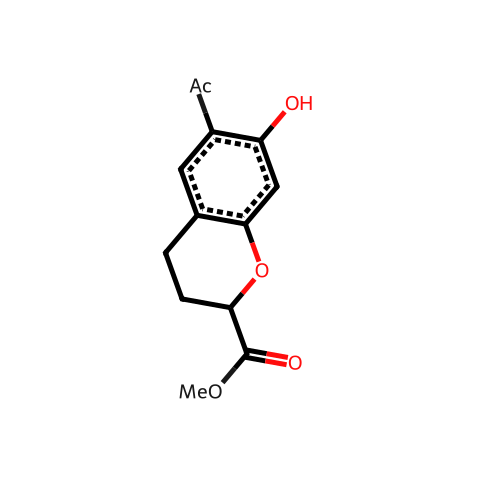 COC(=O)C1CCc2cc(C(C)=O)c(O)cc2O1